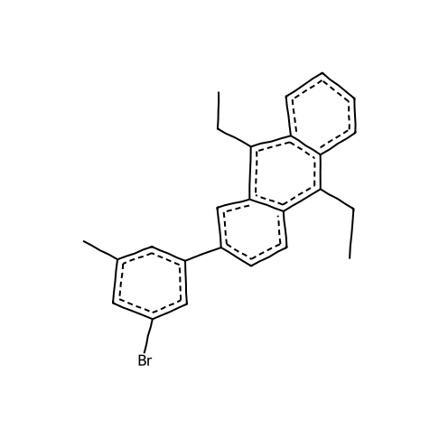 CCc1c2ccccc2c(CC)c2cc(-c3cc(C)cc(Br)c3)ccc12